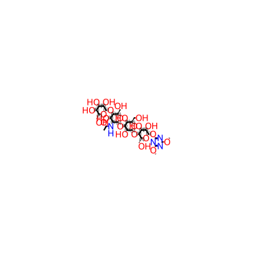 COc1nc(OC)nc(O[C@@H]2O[C@H](CO)[C@@H](O[C@@H]3O[C@H](CO)[C@H](O)[C@H](O[C@@H]4O[C@H](CO)[C@@H](O[C@@H]5O[C@H](CO)[C@H](O)[C@H](O)[C@H]5O)[C@H](O)[C@H]4NC(C)=O)[C@H]3O)[C@H](O)[C@H]2O)n1